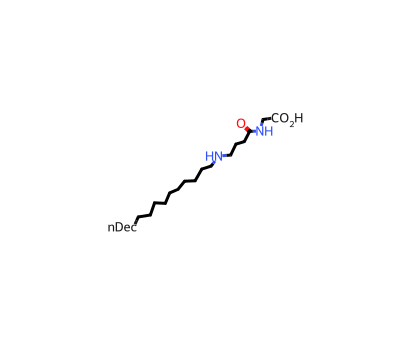 CCCCCCCCCCCCCCCCCCCCNCCCC(=O)NCC(=O)O